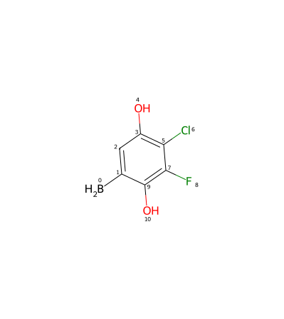 Bc1cc(O)c(Cl)c(F)c1O